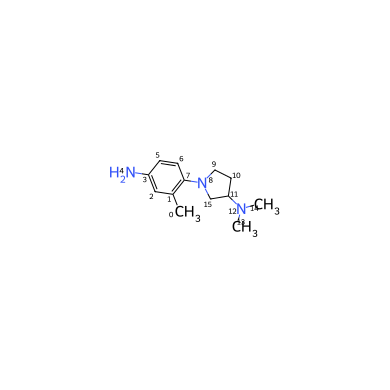 Cc1cc(N)ccc1N1CCC(N(C)C)C1